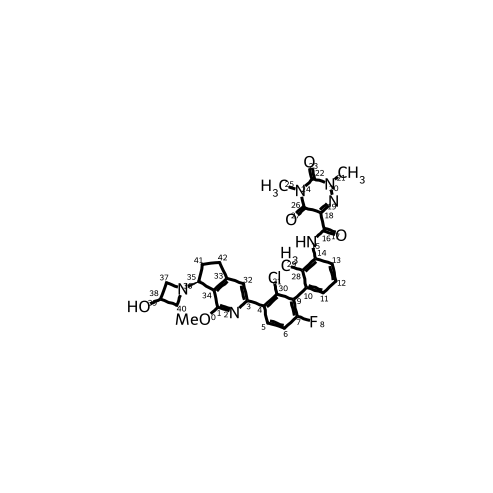 COc1nc(-c2ccc(F)c(-c3cccc(NC(=O)c4nn(C)c(=O)n(C)c4=O)c3C)c2Cl)cc2c1[C@@H](N1CC(O)C1)CC2